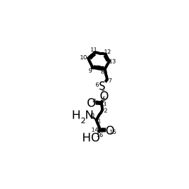 N[C@@H](CC(=O)OSCc1ccccc1)C(=O)O